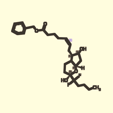 CCCCC(F)(F)[C@@]1(O)CCC2[C@@H](C/C=C\CCCC(=O)OCc3ccccc3)[C@@H](O)C[C@H]2O1